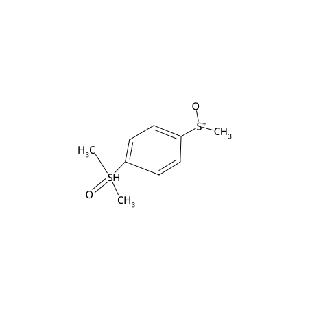 C[S+]([O-])c1ccc([SH](C)(C)=O)cc1